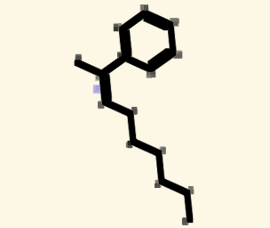 CCCCCC/C=C(/C)c1ccccc1